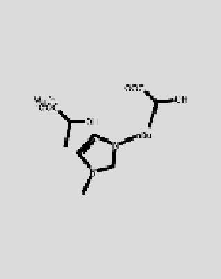 CC(O)C(=O)[O-].CC(O)C(=O)[O-].CCCCN1C=CN(C)C1.[Mg+2]